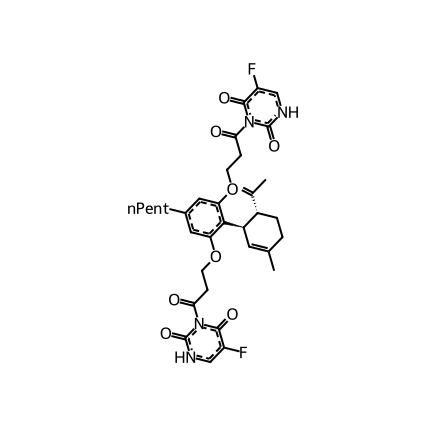 C=C(C)[C@@H]1CCC(C)=C[C@H]1c1c(OCCC(=O)n2c(=O)[nH]cc(F)c2=O)cc(CCCCC)cc1OCCC(=O)n1c(=O)[nH]cc(F)c1=O